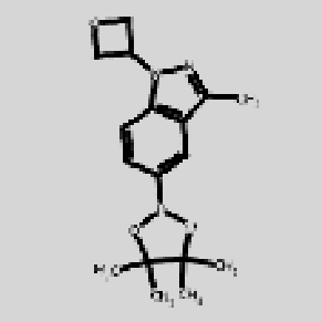 Cc1nn(C2COC2)c2ccc(B3OC(C)(C)C(C)(C)O3)cc12